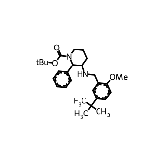 COc1ccc(C(C)(C)C(F)(F)F)cc1CNC1CCCN(C(=O)OC(C)(C)C)C1c1ccccc1